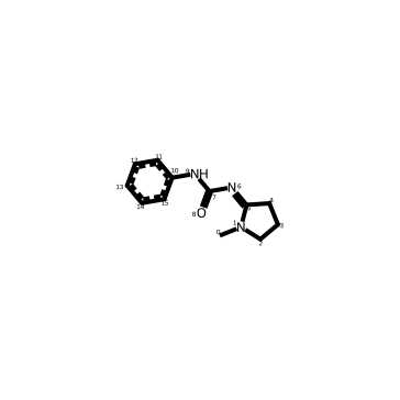 CN1CCCC1=NC(=O)Nc1ccccc1